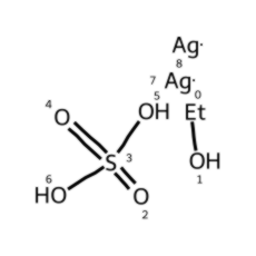 CCO.O=S(=O)(O)O.[Ag].[Ag]